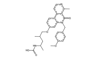 COc1ccc(Cn2c(=O)c3c(C)nccc3c3ccc(OCC(C)CC(C)NC(=O)O)cc32)cc1